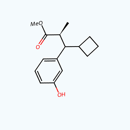 COC(=O)[C@@H](C)C(c1cccc(O)c1)C1CCC1